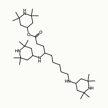 CC1(C)CC(NCCCCCC(CCC(=O)OC2CC(C)(C)NC(C)(C)C2)NC2CC(C)(C)NC(C)(C)C2)CC(C)(C)N1